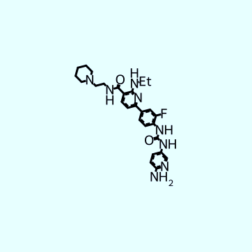 CCNc1nc(-c2ccc(NC(=O)Nc3ccc(N)nc3)c(F)c2)ccc1C(=O)NCCN1CCCCC1